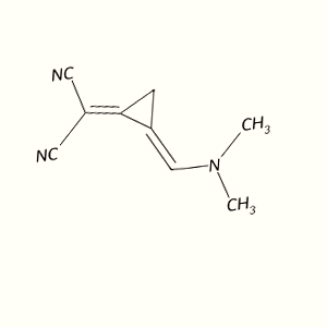 CN(C)/C=C1\CC1=C(C#N)C#N